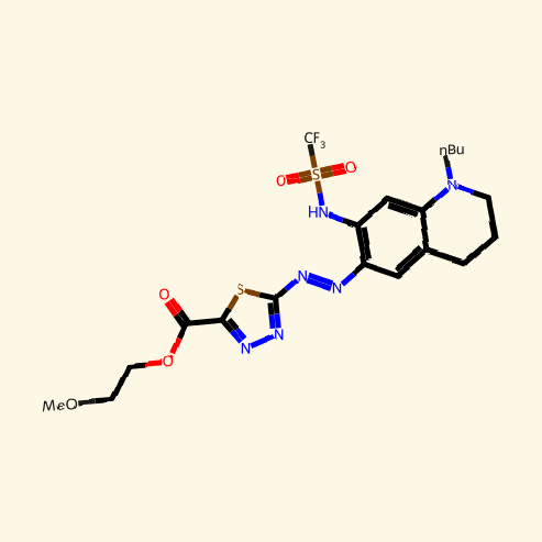 CCCCN1CCCc2cc(N=Nc3nnc(C(=O)OCCOC)s3)c(NS(=O)(=O)C(F)(F)F)cc21